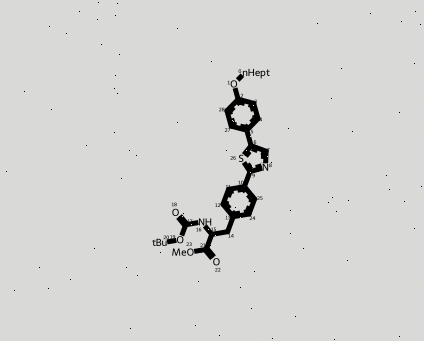 CCCCCCCOc1ccc(-c2cnc(-c3ccc(CC(NC(=O)OC(C)(C)C)C(=O)OC)cc3)s2)cc1